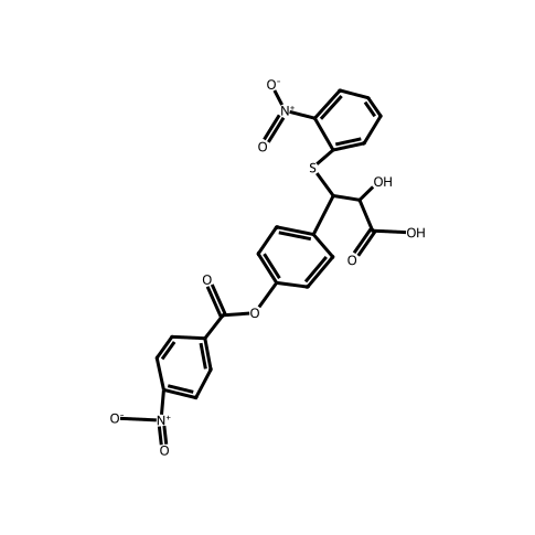 O=C(Oc1ccc(C(Sc2ccccc2[N+](=O)[O-])C(O)C(=O)O)cc1)c1ccc([N+](=O)[O-])cc1